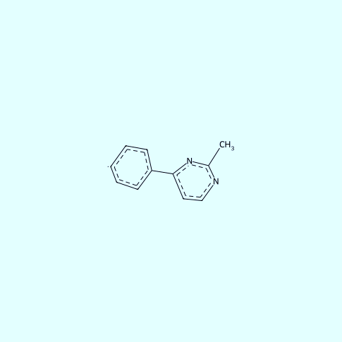 Cc1nccc(-c2cc[c]cc2)n1